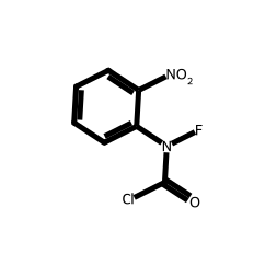 O=C(Cl)N(F)c1ccccc1[N+](=O)[O-]